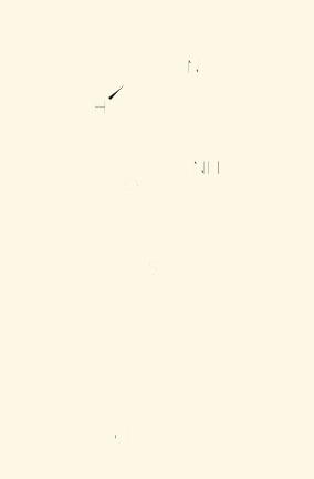 O=C(N[C@@H]1C[C@@H]2CCN(C2)C1)c1ccc(-c2ccc(Cl)cc2)s1